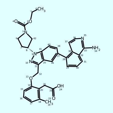 CCOC(=O)N1CC[C@@H](n2nc(COc3cccc(C)c3CC(=O)O)c3cc(-c4cccc5c(N)nccc45)ccc32)C1